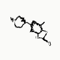 Cc1cc(C2CCNCC2)cc2c1[N]C(=O)N2